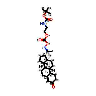 C/C(=N\OC(=O)OCCNC(=O)OC(C)(C)C)[C@H]1CC[C@H]2[C@@H]3CCC4=CC(=O)CC[C@]4(C)[C@H]3CC[C@]12C